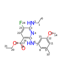 CCNc1nc(Nc2cc(C)cc(OC)c2)c(C(=O)OCC)cc1F